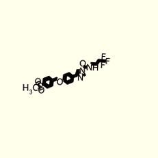 CS(=O)(=O)c1ccc(COc2ccc(-c3cn(C(=O)NCCCC(F)(F)F)cn3)cc2)cc1